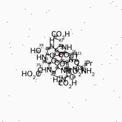 CC(C)[C@H](N)C(=O)N[C@@H](CC(N)=O)C(=O)N1CCC[C@H]1C(=O)N[C@@H](CCC(=O)O)C(=O)N[C@@H](CO)C(=O)N[C@@H](CCC(=O)O)C(=O)N[C@@H](CCC(=O)O)C(=O)N[C@@H](CCC(=O)O)C(=O)O